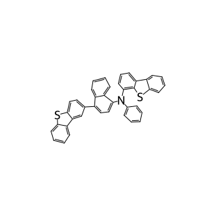 c1ccc(N(c2ccc(-c3ccc4sc5ccccc5c4c3)c3ccccc23)c2cccc3c2sc2ccccc23)cc1